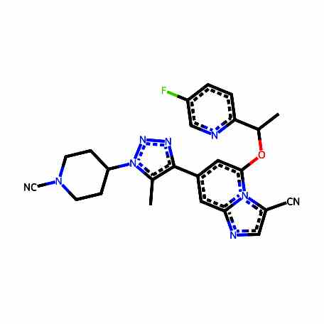 Cc1c(-c2cc(OC(C)c3ccc(F)cn3)n3c(C#N)cnc3c2)nnn1C1CCN(C#N)CC1